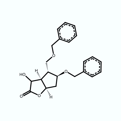 O=C1O[C@@H]2C[C@H](OCc3ccccc3)[C@@H](COCc3ccccc3)[C@@H]2C1O